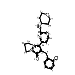 O=c1c(Cc2ccccc2Cl)c(-c2ccnc(NC3CCOCC3)n2)n2n1CCC2